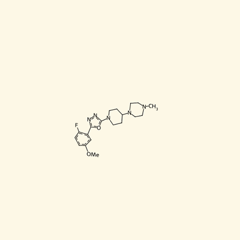 COc1ccc(F)c(-c2nnc(N3CCC(N4CCN(C)CC4)CC3)o2)c1